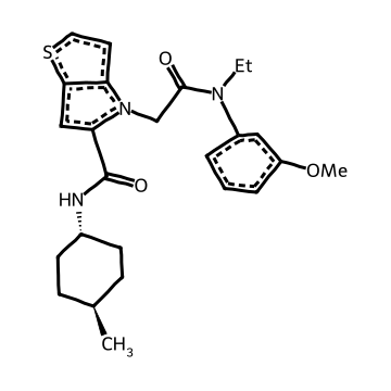 CCN(C(=O)Cn1c(C(=O)N[C@H]2CC[C@H](C)CC2)cc2sccc21)c1cccc(OC)c1